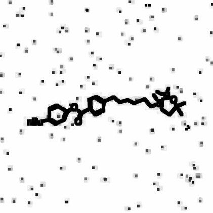 CCCCc1ccc(OC(=O)c2ccc(CCCCCC[Si]3(C)CCC(C)(C)O[Si]3(C)C)cc2)cc1